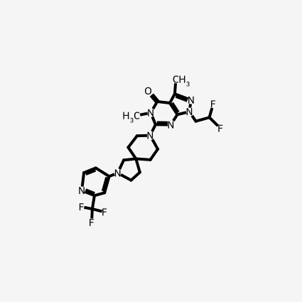 Cc1nn(CC(F)F)c2nc(N3CCC4(CCN(c5ccnc(C(F)(F)F)c5)C4)CC3)n(C)c(=O)c12